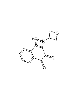 O=C1C(=O)c2c([nH]n2C2COC2)-c2ccccc21